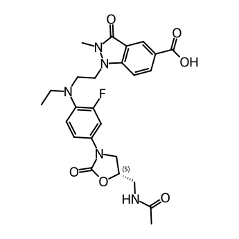 CCN(CCn1c2ccc(C(=O)O)cc2c(=O)n1C)c1ccc(N2C[C@H](CNC(C)=O)OC2=O)cc1F